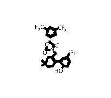 CC(C)c1ccc(O)c(C2=C(CN3C(=O)O[C@H](c4cc(C(F)(F)F)cc(C(F)(F)F)c4)[C@@H]3C)CC(C)(C)CC2)c1